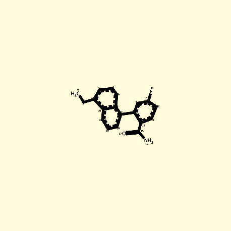 CCc1cccc2c(-c3cc(F)ccc3C(N)=O)cccc12